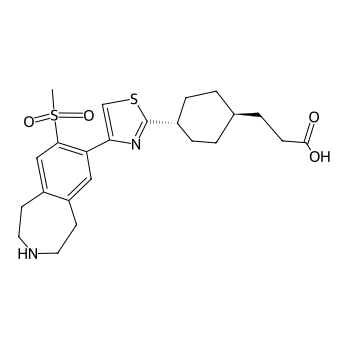 CS(=O)(=O)c1cc2c(cc1-c1csc([C@H]3CC[C@H](CCC(=O)O)CC3)n1)CCNCC2